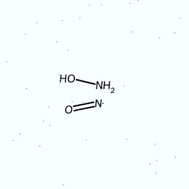 NO.[N]=O